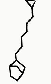 C(CCCC1CC2CCC1C2)CCC1CO1